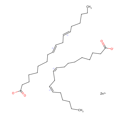 CCCCC/C=C/C/C=C/CCCCCCCC(=O)[O-].CCCCC/C=C\C/C=C\CCCCCCCC(=O)[O-].[Zn+2]